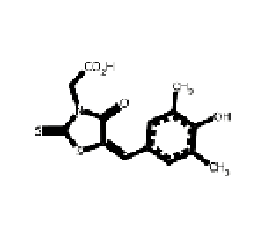 Cc1cc(C=C2SC(=S)N(CC(=O)O)C2=O)cc(C)c1O